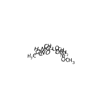 Cc1cccc2c1ccn2C[C@@](C)(N)OC(=O)/C=C/C(=O)O[C@](C)(N)Cn1ccc2c(C)cccc21